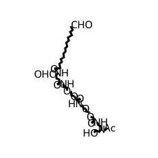 CC(=O)CN(CCO)CCNC(=O)COCCOCCNC(=O)COCCOCCNC(=O)CCC(C=O)NC(=O)CCCCCCCCCCCCCCCCC=O